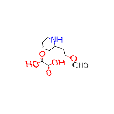 O=C(O)C(=O)O.O=COCCC1CCCCN1